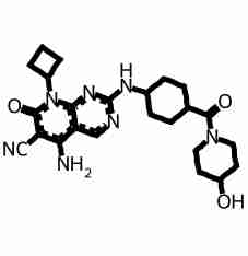 N#Cc1c(N)c2cnc(NC3CCC(C(=O)N4CCC(O)CC4)CC3)nc2n(C2CCC2)c1=O